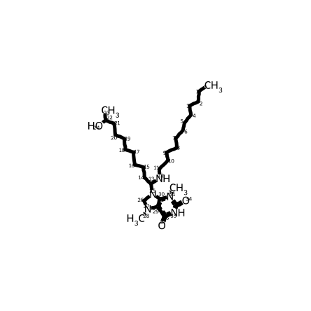 CCCCCCCCCCCCNC(CCCCCCCCC(C)O)N1CN(C)c2c1n(C)c(=O)[nH]c2=O